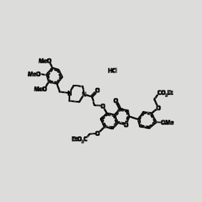 CCOC(=O)COc1cc(OCC(=O)N2CCN(Cc3ccc(OC)c(OC)c3OC)CC2)c2c(=O)cc(-c3ccc(OC)c(OCC(=O)OCC)c3)oc2c1.Cl